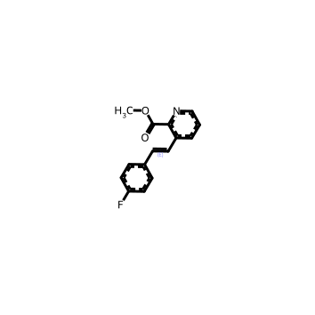 COC(=O)c1ncccc1/C=C/c1ccc(F)cc1